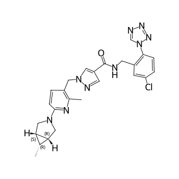 Cc1nc(N2C[C@@H]3[C@H](C)[C@@H]3C2)ccc1Cn1cc(C(=O)NCc2cc(Cl)ccc2-n2cnnn2)cn1